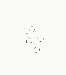 Clc1ccc2c(-c3ccnc(N(c4ccccc4)c4ccccc4)n3)c[nH]c2c1